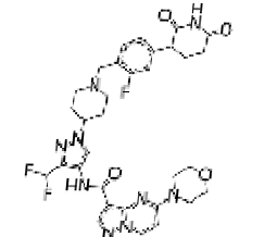 O=C1CCC(c2ccc(CN3CCC(n4cc(NC(=O)c5cnn6ccc(N7CCOCC7)nc56)c(C(F)F)n4)CC3)c(F)c2)C(=O)N1